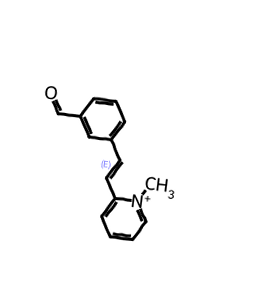 C[n+]1ccccc1/C=C/c1cccc(C=O)c1